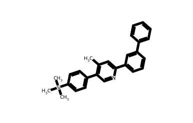 Cc1cc(-c2cccc(-c3ccccc3)c2)ncc1-c1ccc([Si](C)(C)C)cc1